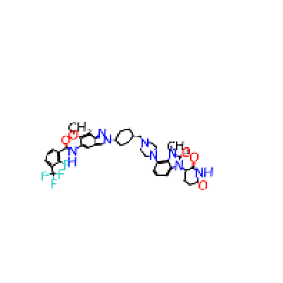 COc1cc2nn([C@H]3CC[C@H](CN4CCN(c5cccc6c5n(C)c(=O)n6C5CCC(=O)NC5=O)CC4)CC3)cc2cc1NC(=O)c1cccc(C(F)(F)F)c1F